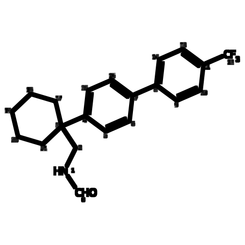 O=CNCC1(c2ccc(-c3ccc(C(F)(F)F)cc3)cc2)CCCCC1